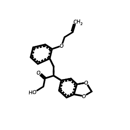 C=CCOc1ccccc1CC(C(=O)CO)c1ccc2c(c1)OCO2